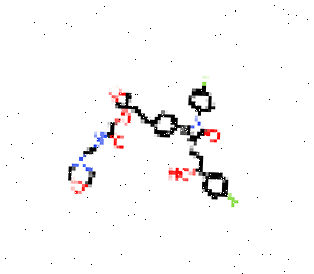 O=C(COC1(CCc2ccc([C@@H]3[C@@H](CCC(O)c4ccc(F)cc4)C(=O)N3c3ccc(F)cc3)cc2)COC1)NCCN1CCOCC1